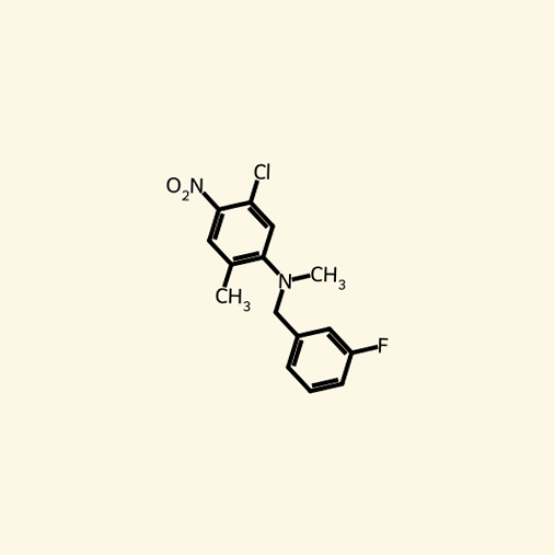 Cc1cc([N+](=O)[O-])c(Cl)cc1N(C)Cc1cccc(F)c1